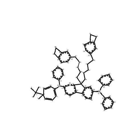 CC(C)(C)C1(C)C=CC=C(N(c2ccccc2)c2ccc3c(c2)C(CCCCCc2ccc4c(c2)CC4)(CCCCCc2ccc4c(c2)CC4)c2cc(N(c4ccccc4)c4ccccc4)ccc2-3)C=C1